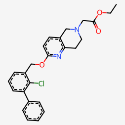 CCOC(=O)CN1CCc2nc(OCc3cccc(-c4ccccc4)c3Cl)ccc2C1